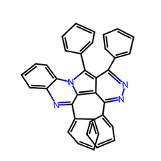 c1ccc(-c2nnc(-c3ccccc3)c3c2c(-c2ccccc2)n2c4ccccc4nc(-c4ccccc4)c32)cc1